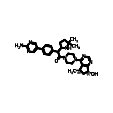 C[C@@H]1C[C@@H](O)c2ncnc(N3CCN(C(=O)C(c4ccc(-c5cnc(N)nc5)cc4)C4CCC(C)(C)N4)CC3)c21